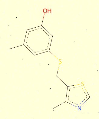 Cc1cc(O)cc(SCc2scnc2C)c1